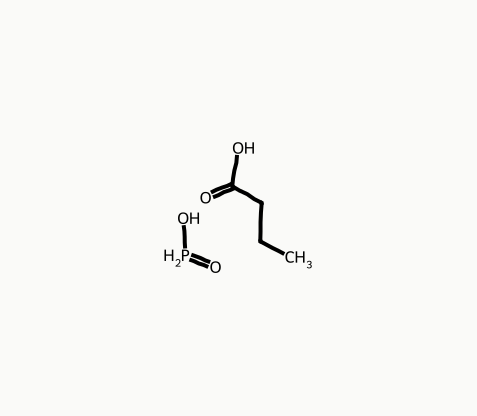 CCCC(=O)O.O=[PH2]O